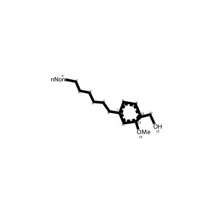 CCCCCCCCCCCCCCCc1ccc(CO)c(OC)c1